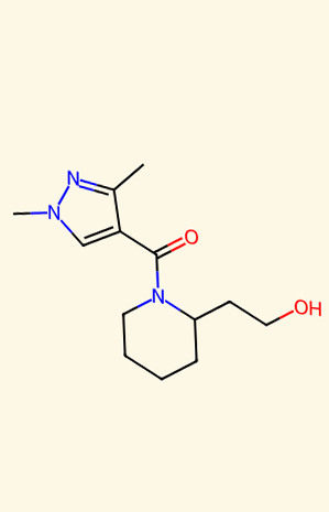 Cc1nn(C)cc1C(=O)N1CCCCC1CCO